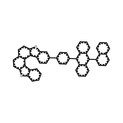 c1ccc2c(-c3c4ccccc4c(-c4ccc(-c5ccc6c(c5)oc5ccc7ccc8oc9ccccc9c8c7c56)cc4)c4ccccc34)cccc2c1